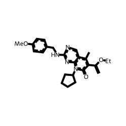 C=C(OCC)c1c(C)c2cnc(NCc3ccc(OC)cc3)nc2n(C2CCCC2)c1=O